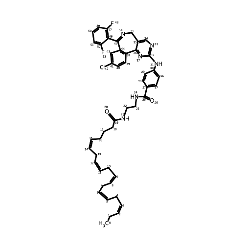 CC/C=C\C/C=C\C/C=C\C/C=C\C/C=C\CCCC(=O)NCCNC(=O)c1ccc(Nc2ncc3c(n2)-c2ccc(Cl)cc2C(c2c(F)cccc2F)=NC3)cc1